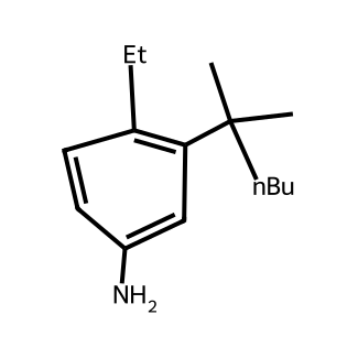 CCCCC(C)(C)c1cc(N)ccc1CC